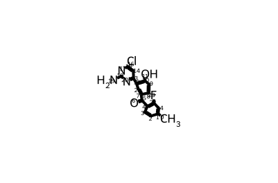 Cc1ccc(C(=O)c2ccc(O)c(-c3cc(Cl)nc(N)n3)c2)c(F)c1